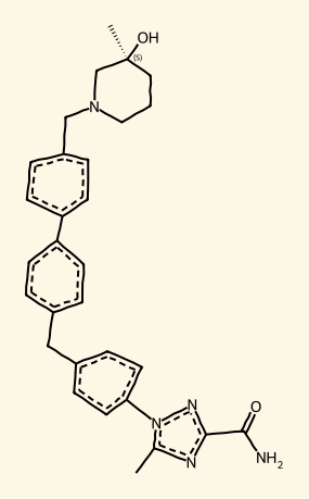 Cc1nc(C(N)=O)nn1-c1ccc(Cc2ccc(-c3ccc(CN4CCC[C@](C)(O)C4)cc3)cc2)cc1